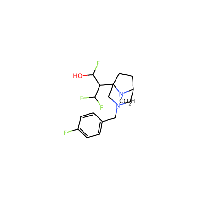 O=C(O)N1C2CCC1(C(C(O)F)C(F)F)CN(Cc1ccc(F)cc1)C2